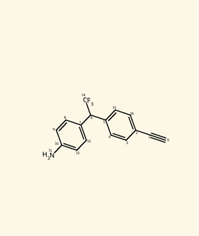 C#Cc1ccc(C(c2ccc(N)cc2)C(F)(F)F)cc1